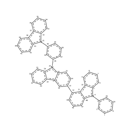 c1ccc(-n2c3ccccc3c3c(-c4ccc5c(c4)c4ccccc4n5-c4cccc(-n5c6ccccc6c6ccccc65)c4)cccc32)cc1